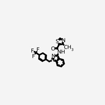 Cc1ncsc1C(=O)Nc1nn(CC2=CCC(C(F)(F)F)C=C2)c2ccccc12